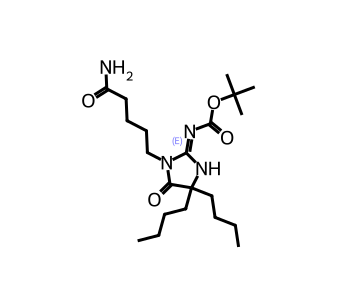 CCCCC1(CCCC)N/C(=N\C(=O)OC(C)(C)C)N(CCCCC(N)=O)C1=O